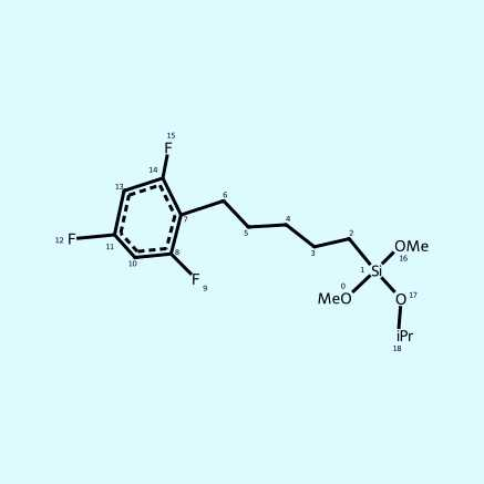 CO[Si](CCCCCc1c(F)cc(F)cc1F)(OC)OC(C)C